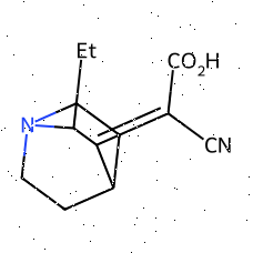 CCC1C(=C(C#N)C(=O)O)C2CCN1CC2